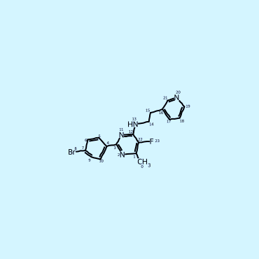 Cc1nc(-c2ccc(Br)cc2)nc(NCCc2cccnc2)c1F